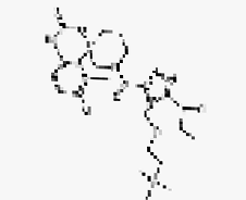 CCC(Cl)c1nnc(C(=O)N2CCC[C@@]3(C2)OC(=O)Nc2ccc(Cl)c(F)c23)n1COCC[Si](C)(C)C